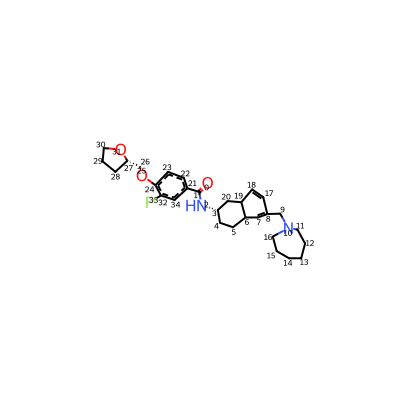 O=C(N[C@H]1CCC2C=C(CN3CCCCCC3)C=CC2C1)c1ccc(OC[C@@H]2CCCO2)c(F)c1